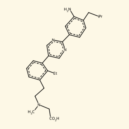 CCc1c(CCN(C)CC(=O)O)cccc1-c1cnc(-c2ccc(CC(C)C)c(N)c2)nc1